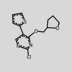 Clc1ncc(-c2cccs2)c(OCC2CCCO2)n1